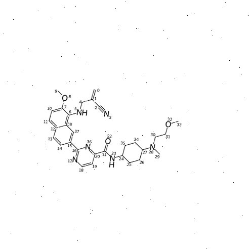 C=C(C#N)CNc1c(OC)ccc2ccc(-c3nccc(C(=O)NC4CCC(N(C)CCOC)CC4)n3)cc12